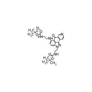 CC(C)(C)OC(=O)NCCNc1ccc2c3c(nn2CCNC(=O)OC(C)(C)C)-c2ccncc2C(=O)c13